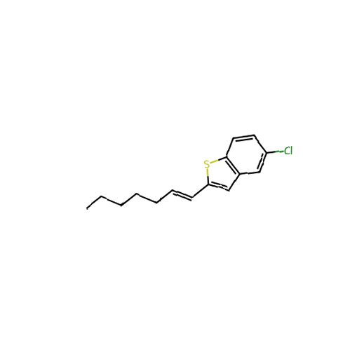 CCCCCC=Cc1cc2cc(Cl)ccc2s1